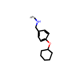 CCCNCc1ccc(OC2CCCCC2)cc1